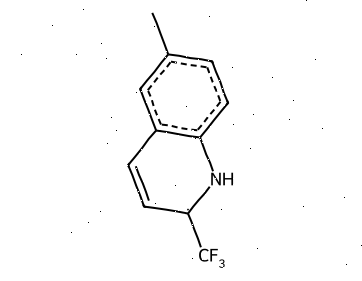 Cc1ccc2c(c1)C=C[C](C(F)(F)F)N2